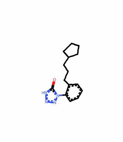 O=c1[nH]nnn1-c1ccccc1CCCC1CCCC1